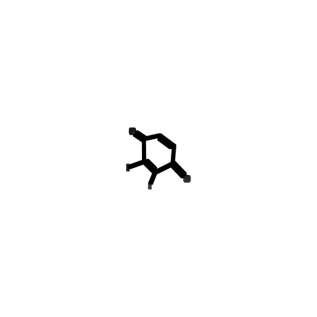 O=C1C=CC(=O)C(I)=C1I